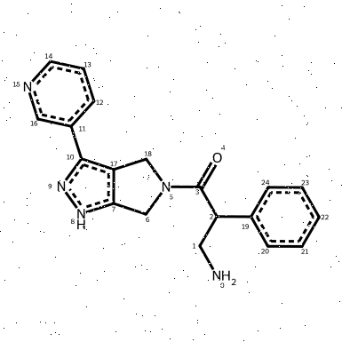 NCC(C(=O)N1Cc2[nH]nc(-c3cccnc3)c2C1)c1ccccc1